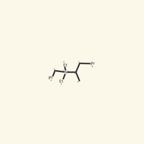 CC[N+](CC)(CC(C)C)C(C)CC(C)C